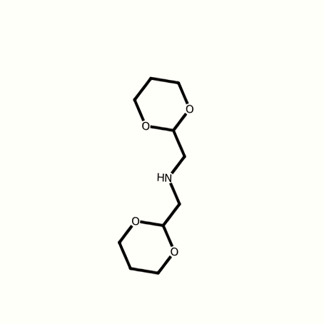 C1COC(CNCC2OCCCO2)OC1